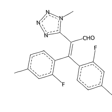 Cc1ccc(C(=C(C=O)c2nnnn2C)c2ccc(C)cc2F)c(F)c1